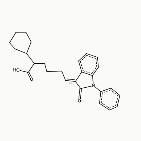 O=C(O)C(CCC/C=C1/C(=O)N(c2ccccc2)c2ccccc21)C1CCCCC1